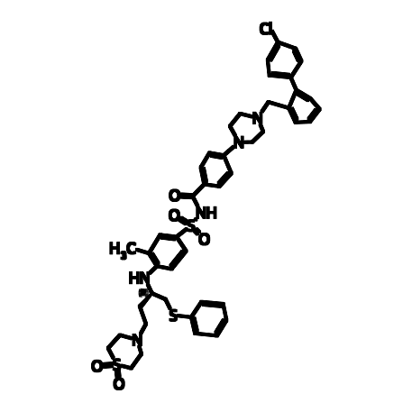 Cc1cc(S(=O)(=O)NC(=O)c2ccc(N3CCN(Cc4ccccc4-c4ccc(Cl)cc4)CC3)cc2)ccc1N[C@H](CCN1CCS(=O)(=O)CC1)CSc1ccccc1